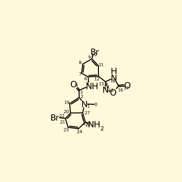 Cn1c(C(=O)Nc2ccc(Br)cc2-c2noc(=O)[nH]2)cc2c(Br)ccc(N)c21